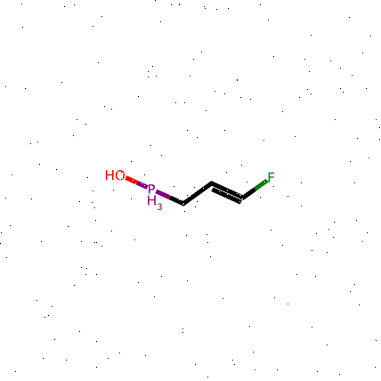 O[PH3]CC=CF